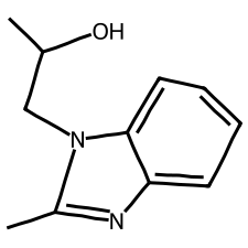 Cc1nc2ccccc2n1CC(C)O